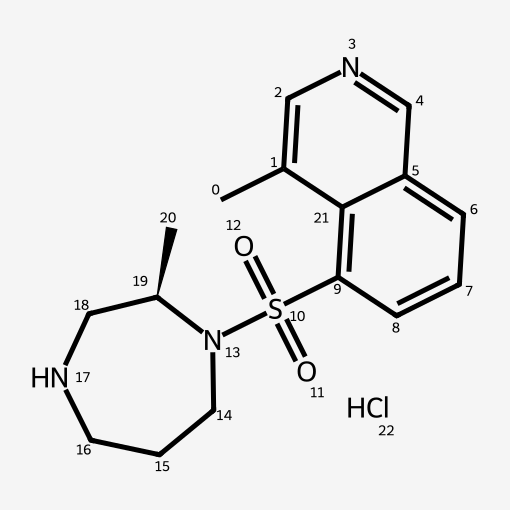 Cc1cncc2cccc(S(=O)(=O)N3CCCNC[C@H]3C)c12.Cl